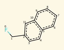 FCc1ccc2ccccc2c1